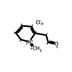 C=[N+]1CC=CC=C1CC=O.[Cl-]